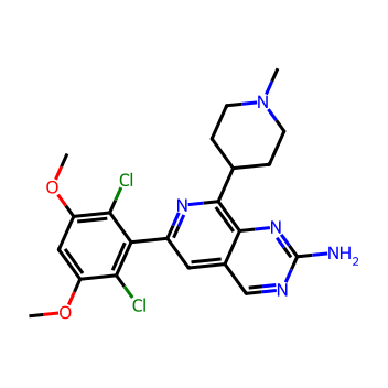 COc1cc(OC)c(Cl)c(-c2cc3cnc(N)nc3c(C3CCN(C)CC3)n2)c1Cl